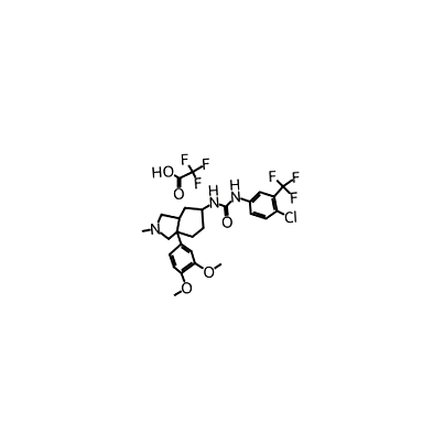 COc1ccc(C23CCC(NC(=O)Nc4ccc(Cl)c(C(F)(F)F)c4)CC2CN(C)C3)cc1OC.O=C(O)C(F)(F)F